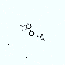 Cc1cccc(-c2cccc(CCC(N)=O)c2)c1C